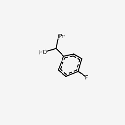 C[C](C)C(O)c1ccc(F)cc1